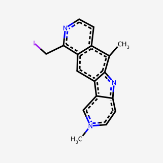 Cc1c2ccnc(CI)c2cc2c3cn(C)ccc-3nc12